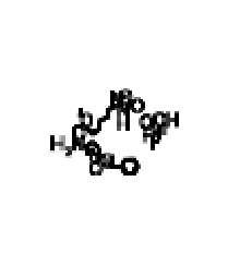 CCOC(=O)C(CCCCc1noc(=O)[nH]1)[C@@H]1CN(C(=O)OCc2ccccc2)C[C@H]1N.O=C(O)C(F)(F)F